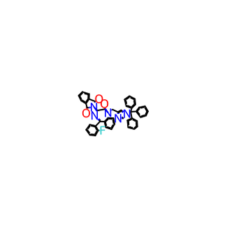 O=C1C(N2C(=O)c3ccccc3C2=O)N=C(c2ccccc2F)c2ccccc2N1Cc1cn(C(c2ccccc2)(c2ccccc2)c2ccccc2)cn1